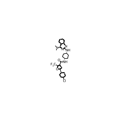 CN(C)c1nc(N[C@H]2CC[C@@H](NC(=O)c3cc(-c4ccc(Cl)cc4)oc3C(F)(F)F)CC2)nc2ccccc12